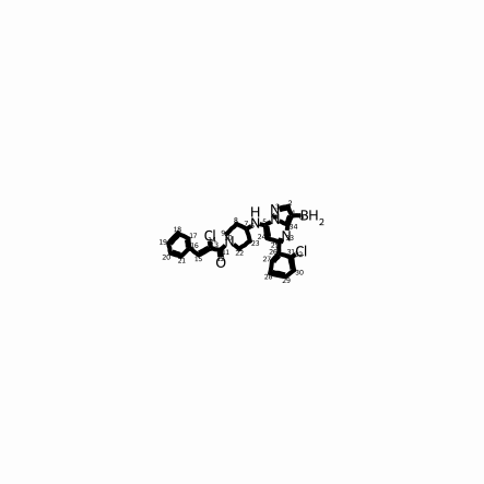 Bc1cnn2c(NC3CCN(C(=O)/C(Cl)=C/c4ccccc4)CC3)cc(-c3ccccc3Cl)nc12